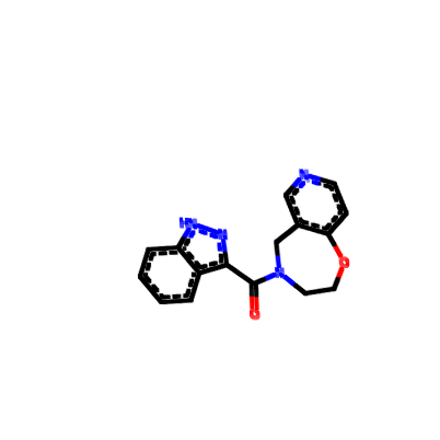 O=C(c1n[nH]c2ccccc12)N1CCOc2ccncc2C1